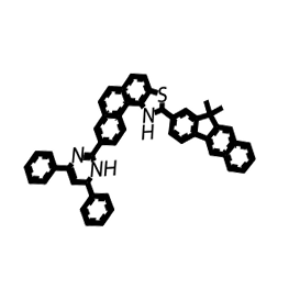 CC1(C)c2cc(C3Nc4c(ccc5ccc6cc(C7=NC(c8ccccc8)=CC(c8ccccc8)N7)ccc6c45)S3)ccc2-c2cc3ccccc3cc21